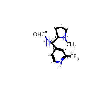 CN1CCCC1C(NC=O)c1ccnc(C(F)(F)F)c1